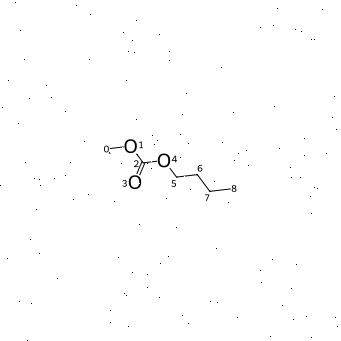 [CH2]OC(=O)OCCCC